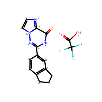 O=C(O)C(F)(F)F.O=c1[nH]c(-c2ccc3c(c2)CCC3)nn2ccnc12